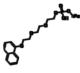 CCCCCOP(=O)(O)OCCOCCOCCOc1cccc2ccccc12